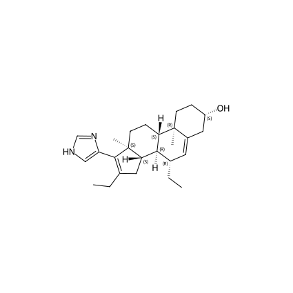 CCC1=C(c2c[nH]cn2)[C@@]2(C)CC[C@H]3[C@@H]([C@@H](CC)C=C4C[C@@H](O)CC[C@@]43C)[C@@H]2C1